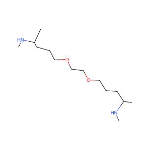 CNC(C)CCCOCCOCCCC(C)NC